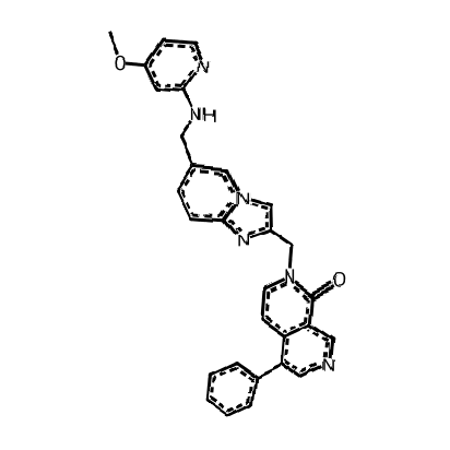 COc1ccnc(NCc2ccc3nc(Cn4ccc5c(-c6ccccc6)cncc5c4=O)cn3c2)c1